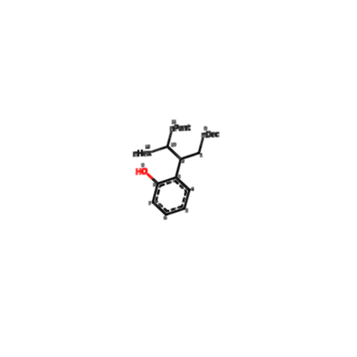 CCCCCCCCCCCC(c1ccccc1O)C(CCCCC)CCCCCC